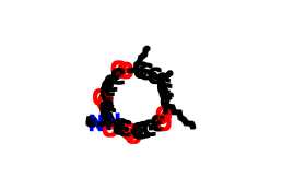 CCCCCCCCC1CCCCCC(CCC)CCCCC(CCCCCC)COC(=O)CCCCCC(=O)OCCCN(C(=O)CCN2CCCC2)CCCOC(=O)CCCCCC(=O)OC1